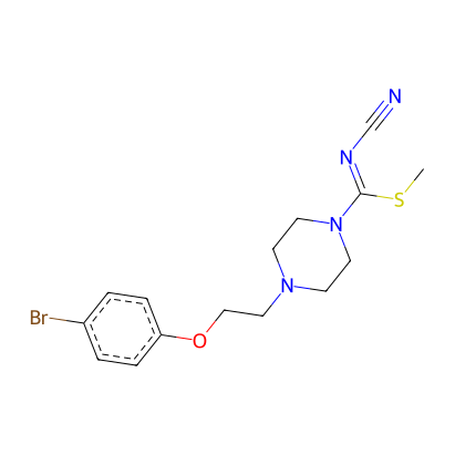 CS/C(=N\C#N)N1CCN(CCOc2ccc(Br)cc2)CC1